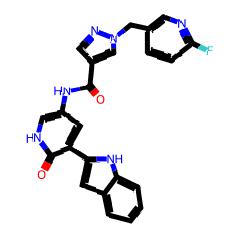 O=C(Nc1c[nH]c(=O)c(-c2cc3ccccc3[nH]2)c1)c1cnn(Cc2ccc(F)nc2)c1